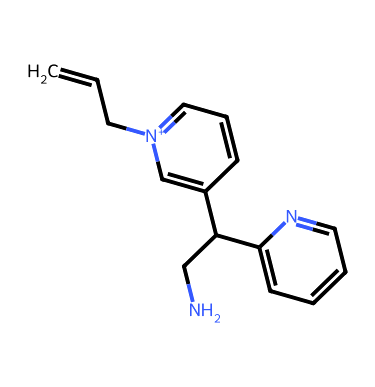 C=CC[n+]1cccc(C(CN)c2ccccn2)c1